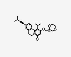 CC(C)C#Cc1ccc2c(c1)CCn1c-2c(C(C)C)c(OC[C@@H]2COCCO2)cc1=O